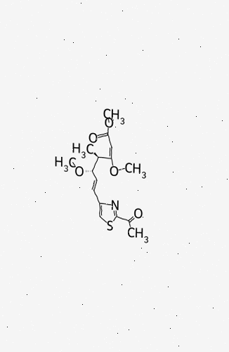 COC(=O)/C=C(/OC)[C@H](C)[C@H](/C=C/c1csc(C(C)=O)n1)OC